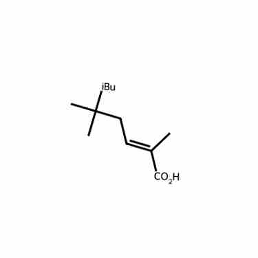 CCC(C)C(C)(C)CC=C(C)C(=O)O